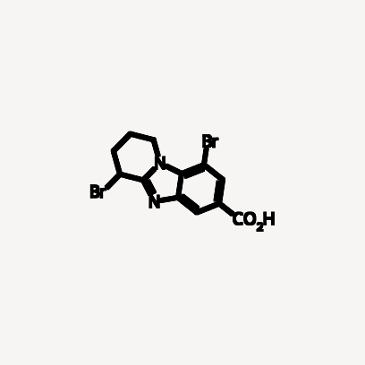 O=C(O)c1cc(Br)c2c(c1)nc1n2CCCC1Br